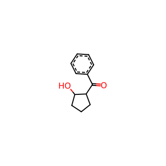 O=C(c1ccccc1)C1CCCC1O